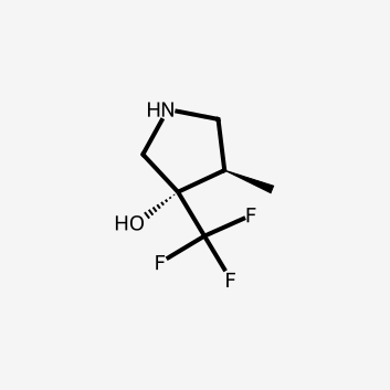 C[C@@H]1CNC[C@]1(O)C(F)(F)F